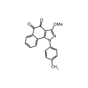 COc1nn(-c2ccc(C)cc2)c2c1C(=O)C(=O)c1ccccc1-2